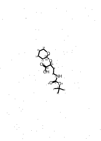 CC(C)(C)OC(=O)NCCC(O[C@H]1CCCCO1)C(=O)O